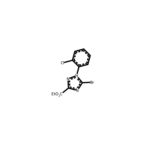 CCOC(=O)c1nc(Br)n(-c2ccccc2Cl)n1